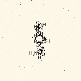 Nc1nc2c(ncn2[C@@H]2OC3C[C@H]2OP(=S)(S)OC[C@H]2O[C@@H](n4cnc5c(=O)[nH]cnc54)C[C@@H]2CCO3)c(=O)[nH]1